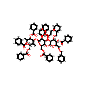 COC(C)C(OC(=O)c1ccccc1)C(OC1OC(COC(=O)c2ccccc2)C(OC2OC(COCc3ccccc3)C(OC(=O)c3ccccc3)C(OCc3ccccc3)C2OCc2ccccc2)C(OC(=O)CCC(C)=O)C1OCc1ccccc1)C(C)[C@@H](COC(=O)c1ccccc1)OC(=O)c1ccccc1